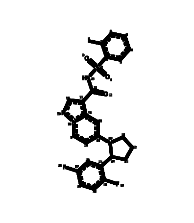 Cc1ccccc1S(=O)(=O)NC(=O)c1cnn2ccc(N3CCCC3c3cc(F)ccc3F)cc12